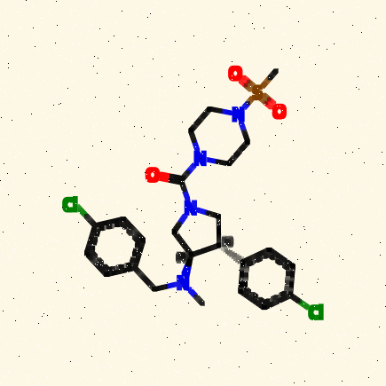 CN(Cc1ccc(Cl)cc1)[C@H]1CN(C(=O)N2CCN(S(C)(=O)=O)CC2)C[C@@H]1c1ccc(Cl)cc1